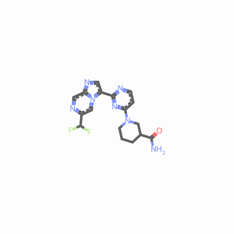 NC(=O)C1CCCN(c2ccnc(-c3cnc4cnc(C(F)F)cn34)n2)C1